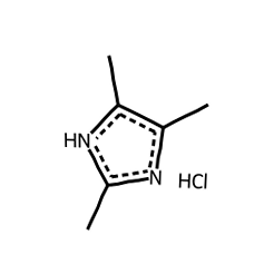 Cc1nc(C)c(C)[nH]1.Cl